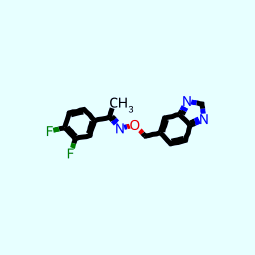 C/C(=N\OCc1ccc2c(c1)=NCN=2)c1ccc(F)c(F)c1